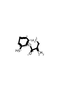 C=C(CC)C(=O)O.Sc1ccccc1